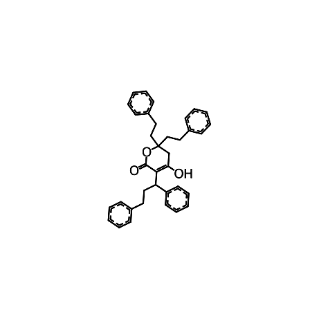 O=C1OC(CCc2ccccc2)(CCc2ccccc2)CC(O)=C1C(CCc1ccccc1)c1ccccc1